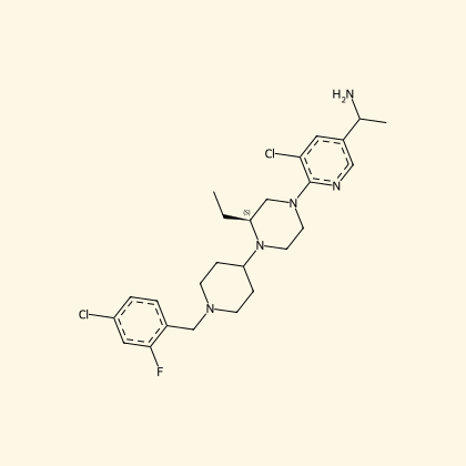 CC[C@H]1CN(c2ncc(C(C)N)cc2Cl)CCN1C1CCN(Cc2ccc(Cl)cc2F)CC1